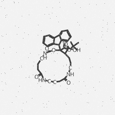 CC(C)(C)OC(=O)C1(C2c3ccccc3-c3ccccc32)OC(=O)NCCCC(=O)NCCCC(=O)NCCCC1C(=O)O